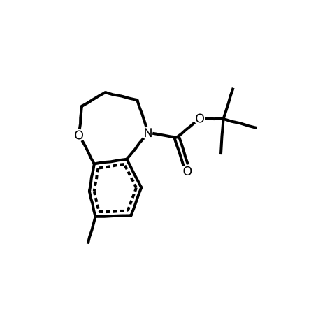 Cc1ccc2c(c1)OCCCN2C(=O)OC(C)(C)C